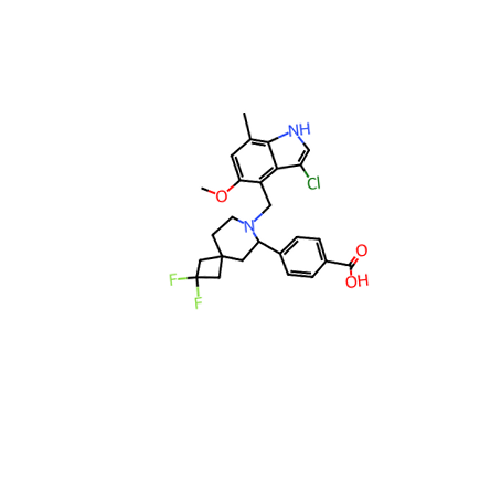 COc1cc(C)c2[nH]cc(Cl)c2c1CN1CCC2(CC1c1ccc(C(=O)O)cc1)CC(F)(F)C2